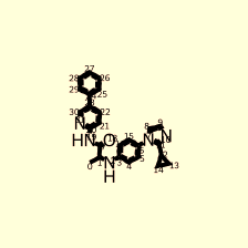 CC(Nc1ccc(-n2ccnc2C2CC2)cc1)C(=O)Nc1ccc(-c2ccccc2)cn1